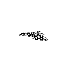 CCOc1ccc(C(=O)Oc2ccc3c(c2F)C(F)(F)C(F)(F)c2c-3ccc(OCC)c2F)cc1